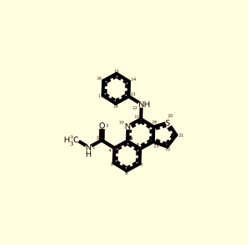 CNC(=O)c1cccc2c1nc(Nc1ccccc1)c1sccc12